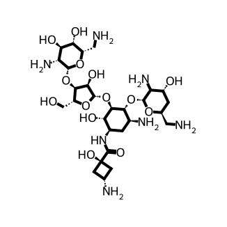 NC[C@@H]1C[C@@H](O)C(N)[C@@H](O[C@H]2[C@H](O[C@@H]3O[C@H](CO)[C@@H](O[C@H]4O[C@@H](CN)[C@@H](O)[C@H](O)[C@H]4N)[C@H]3O)[C@@H](O)[C@H](NC(=O)[C@]3(O)C[C@H](N)C3)C[C@@H]2N)O1